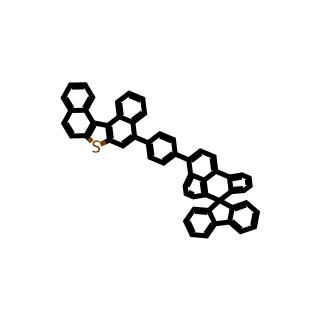 c1ccc2c(c1)-c1ccccc1C21c2ccccc2-c2ccc(-c3ccc(-c4cc5sc6ccc7ccccc7c6c5c5ccccc45)cc3)c3cccc1c23